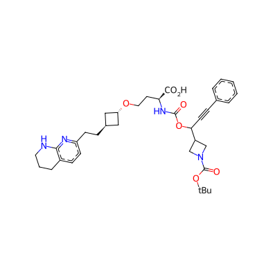 CC(C)(C)OC(=O)N1CC(C(C#Cc2ccccc2)OC(=O)N[C@@H](CCO[C@H]2C[C@H](CCc3ccc4c(n3)NCCC4)C2)C(=O)O)C1